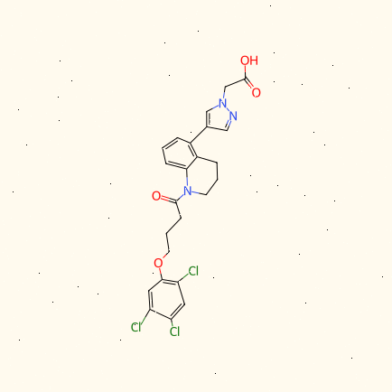 O=C(O)Cn1cc(-c2cccc3c2CCCN3C(=O)CCCOc2cc(Cl)c(Cl)cc2Cl)cn1